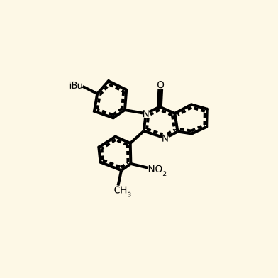 CCC(C)c1ccc(-n2c(-c3cccc(C)c3[N+](=O)[O-])nc3ccccc3c2=O)cc1